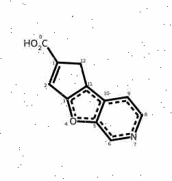 O=C(O)C1=Cc2oc3cnccc3c2C1